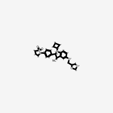 N#CC1c2cc(OCC3COCO3)ccc2N(C2CCC2)C1c1ccc(N2CCCS2(=O)=O)cc1